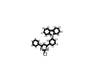 Clc1nc(-c2ccccc2)cc(-c2cccc(-n3c4ccccc4c4ccccc43)c2)n1